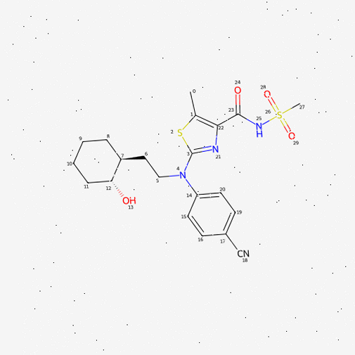 Cc1sc(N(CC[C@@H]2CCCC[C@H]2O)c2ccc(C#N)cc2)nc1C(=O)NS(C)(=O)=O